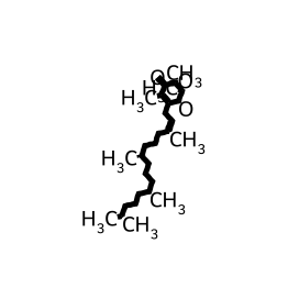 CC(=CCC1=C(C)C(=O)C2(C)OC2(C)C1=O)CCC[C@H](C)CCC[C@H](C)CCCC(C)C